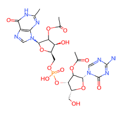 CC(=O)OC1[C@@H](OP(=O)(O)OC[C@H]2O[C@@H](n3cnc4c(=O)[nH]c(C)nc43)C(OC(C)=O)[C@H]2O)[C@@H](CO)O[C@H]1n1cnc(N)nc1=O